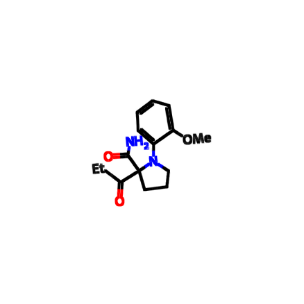 CCC(=O)C1(C(N)=O)CCCN1c1ccccc1OC